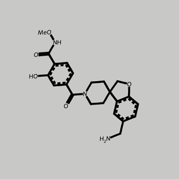 CONC(=O)c1ccc(C(=O)N2CCC3(CC2)COc2ccc(CN)cc23)cc1O